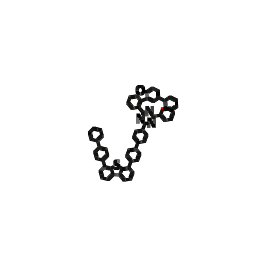 c1ccc(-c2ccc(-c3cccc4c3sc3c(-c5ccc(-c6ccc(-c7nc(-c8ccccc8)nc(-c8cccc9oc%10ccc(-c%11ccccc%11)cc%10c89)n7)cc6)cc5)cccc34)cc2)cc1